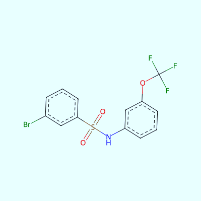 O=S(=O)(Nc1cccc(OC(F)(F)F)c1)c1cccc(Br)c1